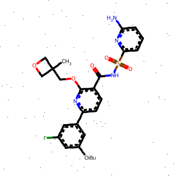 CC(C)COc1cc(F)cc(-c2ccc(C(=O)NS(=O)(=O)c3cccc(N)n3)c(OCC3(C)COC3)n2)c1